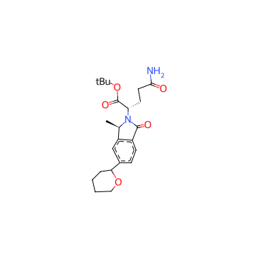 C[C@@H]1c2cc(C3CCCCO3)ccc2C(=O)N1[C@@H](CCC(N)=O)C(=O)OC(C)(C)C